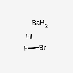 FBr.I.[BaH2]